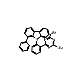 CC(C)(C)c1nc(-c2ccccc2-n2c3ccccc3c3cccc(-c4ccccc4)c32)nc(C(C)(C)C)n1